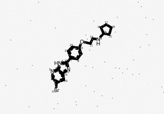 Brc1cnc2[nH]c(-c3ccc(OCCNC4CCCC4)cc3)nc2c1